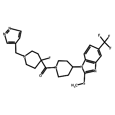 CSc1nc2cc(C(F)(F)F)ccc2n1C1CCN(C(=O)C2(F)CCN(Cc3ccnnc3)CC2)CC1